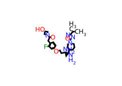 CC(C)c1noc(N2CCCC(C3(N)CC3(N)CCOc3ccc(CC(=O)N4CC(O)C4)c(F)c3)CC2)n1